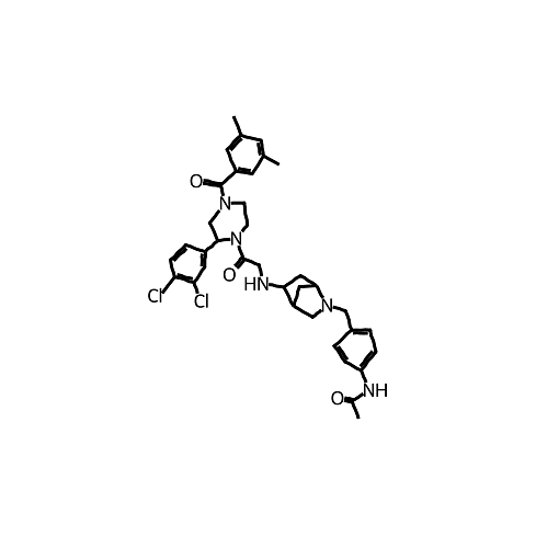 CC(=O)Nc1ccc(CN2CC3CC2CC3NCC(=O)N2CCN(C(=O)c3cc(C)cc(C)c3)CC2c2ccc(Cl)c(Cl)c2)cc1